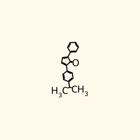 CC(C)c1ccc(C2=CC=C(c3ccccc3)C2=O)cc1